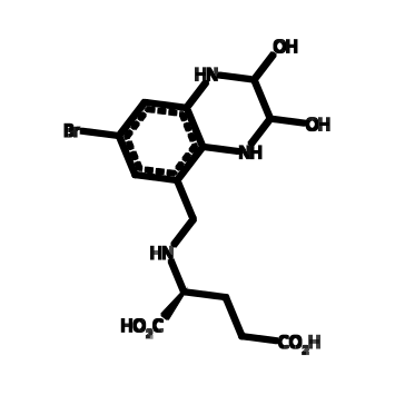 O=C(O)CC[C@H](NCc1cc(Br)cc2c1NC(O)C(O)N2)C(=O)O